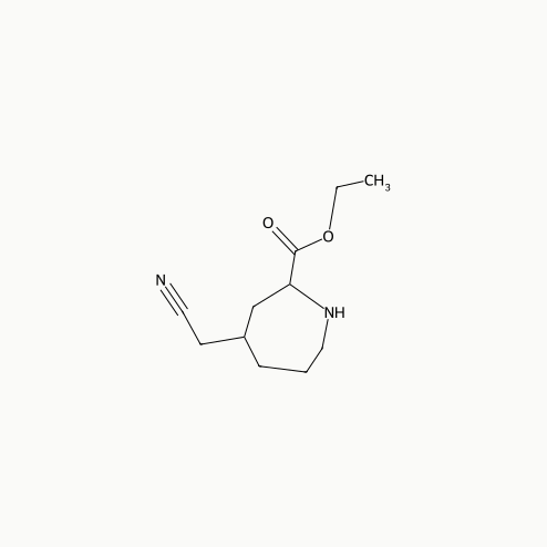 CCOC(=O)C1CC(CC#N)CCCN1